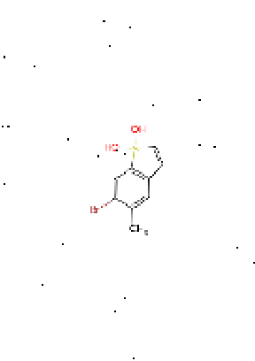 Cc1cc2c(cc1Br)S(O)(O)C=C2